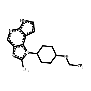 Cc1nc2cnc3[nH]ccc3c2n1C1CCC(NCC(F)(F)F)CC1